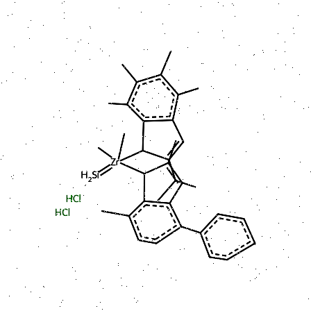 CC1=Cc2c(-c3ccccc3)ccc(C)c2[CH]1[Zr]([CH3])([CH3])(=[SiH2])[CH]1C(C(C)C)=Cc2c(C)c(C)c(C)c(C)c21.Cl.Cl